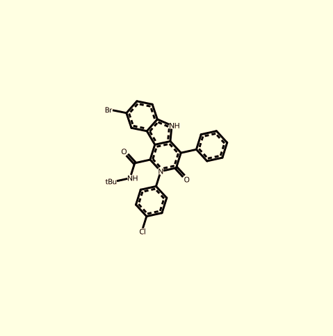 CC(C)(C)NC(=O)c1c2c([nH]c3ccc(Br)cc32)c(-c2ccccc2)c(=O)n1-c1ccc(Cl)cc1